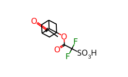 O=C1C=C2C3CC1CC2(OC(=O)C(F)(F)S(=O)(=O)O)C3